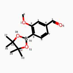 COc1cc(C=O)ccc1B1OC(C)(C)C(C)(C)O1